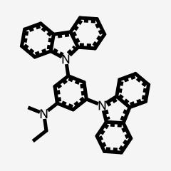 CCN(C)c1cc(-n2c3ccccc3c3ccccc32)cc(-n2c3ccccc3c3ccccc32)c1